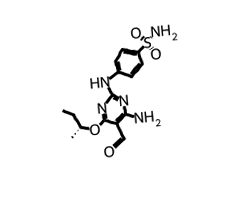 CC[C@@H](C)Oc1nc(Nc2ccc(S(N)(=O)=O)cc2)nc(N)c1C=O